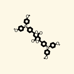 COc1ccc(N(c2ccc(OC)cc2)c2ccc(-c3cc4c(=O)oc(-c5ccc(N(c6ccc(OC)cc6)c6ccc(OC)cc6)cc5)cc4c(=O)o3)cc2)cc1